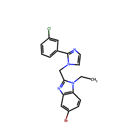 CCn1c(Cn2ccnc2-c2cccc(Cl)c2)nc2cc(Br)ccc21